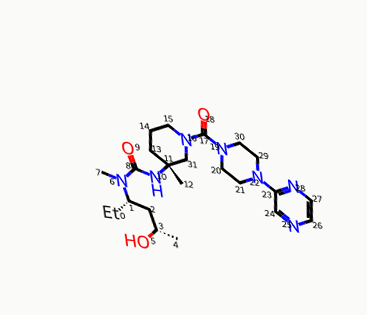 CC[C@@H](C[C@H](C)O)N(C)C(=O)N[C@]1(C)CCCN(C(=O)N2CCN(c3cnccn3)CC2)C1